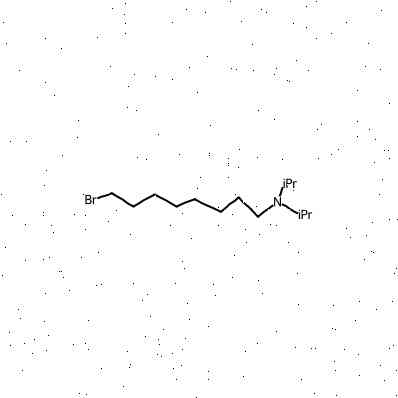 CC(C)N(CCCCCCCCBr)C(C)C